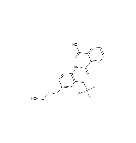 O=C(O)c1ccccc1C(=O)Nc1ccc(CCCO)cc1CC(F)(F)F